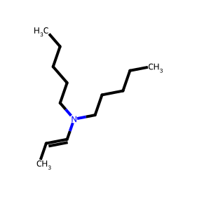 CC=CN(CCCCC)CCCCC